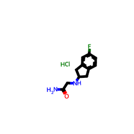 Cl.NC(=O)CNC1Cc2ccc(F)cc2C1